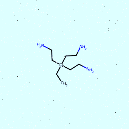 C[CH2][Ge]([CH2]CN)([CH2]CN)[CH2]CN